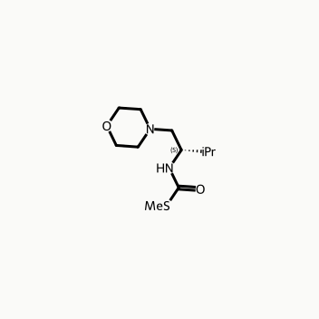 CSC(=O)N[C@H](CN1CCOCC1)C(C)C